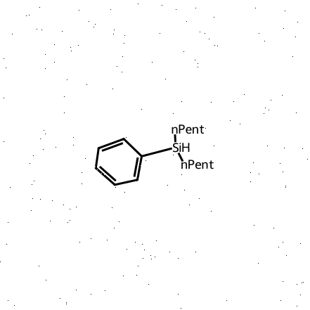 CCCCC[SiH](CCCCC)c1ccccc1